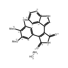 COc1cc(C2=C(c3c[nH]c4ncccc34)C(=O)NC2=O)cc(OC)c1OC.Cl.[AlH3]